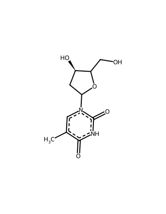 Cc1cn(C2C[C@@H](O)C(CO)O2)c(=O)[nH]c1=O